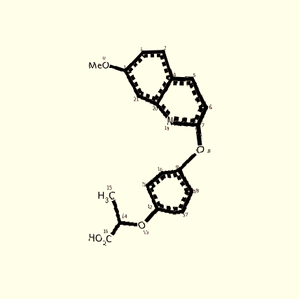 COc1ccc2ccc(Oc3ccc(OC(C)C(=O)O)cc3)nc2c1